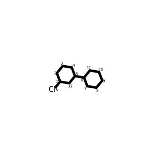 ClC1CCCC(C2CCCCC2)C1